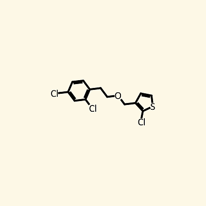 Clc1ccc(CCOCc2ccsc2Cl)c(Cl)c1